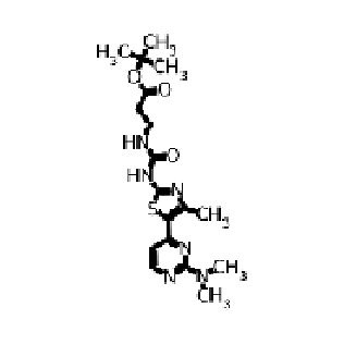 Cc1nc(NC(=O)NCCC(=O)OC(C)(C)C)sc1-c1ccnc(N(C)C)n1